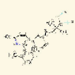 Cc1ccc(-c2cccc(CCC(C)(C)C(F)CF)c2)c(-c2c(C)cccc2C)n1